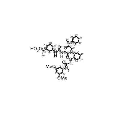 COc1cc(OC)cc(N(C)C(=O)COc2ccccc2N(CC(=O)N(C)c2ccccc2)C(=O)CNC(=O)Nc2cccc(C(C)C(=O)O)c2)c1